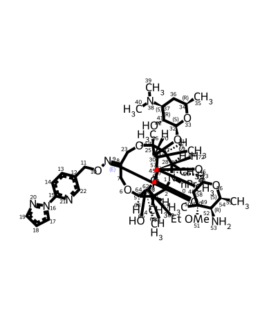 CCCN1C[C@H](C)[C@H]2OC/C(=N\OCc3ccc(-n4cccn4)nc3)CO[C@](C)(C[C@H]1C)[C@H](O[C@@H]1O[C@H](C)C[C@H](N(C)C)[C@H]1O)[C@@H](C)[C@H](O[C@H]1C[C@@](C)(OC)[C@H](N)[C@H](C)O1)[C@@H](C)C(=O)O[C@H](CC)[C@@]2(C)O